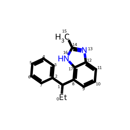 CCC(c1ccccc1)c1cccc2nc(C)[nH]c12